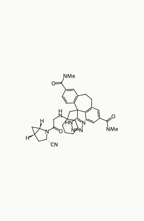 CNC(=O)c1ccc2c(c1)CCc1cc(C(=O)NC)ccc1C2(CC1(NCC(=O)N2[C@H](C#N)C[C@@H]3C[C@@H]32)CCCCC1)c1nnn[nH]1